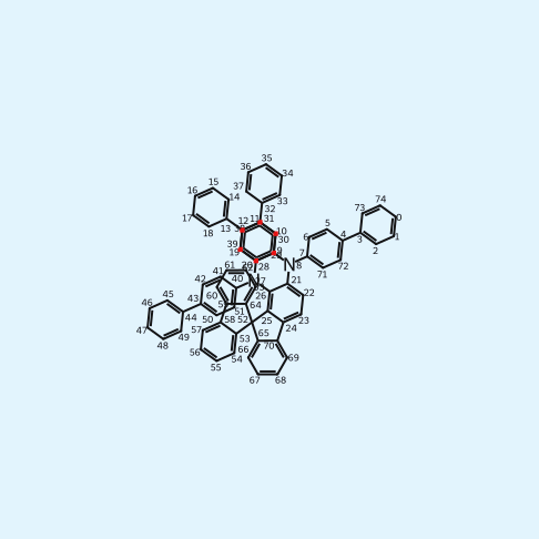 c1ccc(-c2ccc(N(c3ccc(-c4ccccc4)cc3)c3ccc4c(c3N(c3ccc(-c5ccccc5)cc3)c3ccc(-c5ccccc5)cc3)C3(c5ccccc5-c5ccccc53)c3ccccc3-4)cc2)cc1